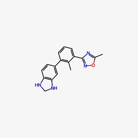 Cc1nc(-c2cccc(-c3ccc4c(c3)NCN4)c2C)no1